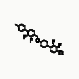 CCc1ccc(C2CCC(OCc3ccc(-c4ccc(C)cc4)c(F)c3F)CC2)c(F)c1F